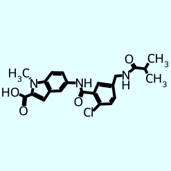 CC(C)C(=O)NCc1ccc(Cl)c(C(=O)Nc2ccc3c(c2)cc(C(=O)O)n3C)c1